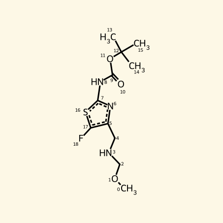 COCNCc1nc(NC(=O)OC(C)(C)C)sc1F